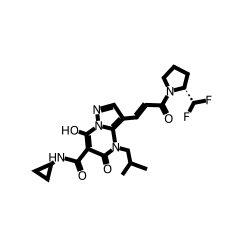 CC(C)Cn1c(=O)c(C(=O)NC2CC2)c(O)n2ncc(/C=C/C(=O)N3CCC[C@@H]3C(F)F)c12